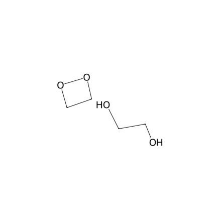 C1COO1.OCCO